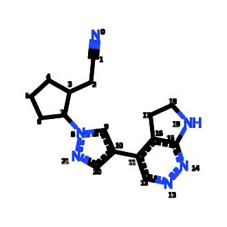 N#CCC1CCCC1n1cc(-c2cnnc3c2CCN3)cn1